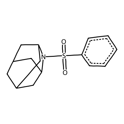 O=S(=O)(c1ccccc1)N1C2CC3CC(C2)CC1C3